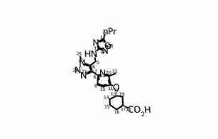 CCCc1nc(NCc2c(-c3ccc(O[C@H]4CCC[C@H](C(=O)O)C4)c(C)n3)nnn2C)no1